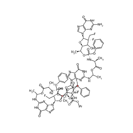 CC(C)OC(=O)[C@H](C)NP(=O)(Oc1ccccc1)O[C@@H](C)[C@H]1O[C@@H](n2cnc3c(=O)[nH]c(NC(C)OC(=O)[C@H](C)N[P@@](=O)(Oc4ccccc4)O[C@@H](C)[C@H]4O[C@@H](n5cnc6c(=O)[nH]c(NC(C)OC(=O)[C@H](C)N[P@](=O)(Oc7ccccc7)O[C@@H](C)[C@H]7O[C@@H](n8cnc9c(=O)[nH]c(N)nc98)[C@@](F)(CF)C7O)nc65)[C@@](F)(CF)C4O)nc32)[C@@](F)(CF)C1O